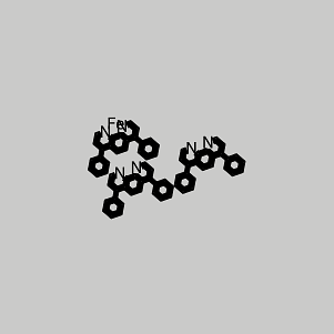 [Fe].c1ccc(-c2ccnc3c2ccc2c(-c4ccccc4)ccnc23)cc1.c1ccc(-c2ccnc3c2ccc2c(-c4ccccc4)ccnc23)cc1.c1ccc(-c2ccnc3c2ccc2c(-c4ccccc4)ccnc23)cc1